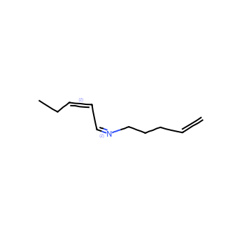 C=CCCC/N=C\C=C/CC